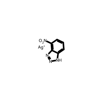 O=[N+]([O-])c1cccc2[nH]nnc12.[Ag+]